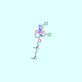 C/C=C\CC/C(C)=C/COC1CCOP(=O)(NCCCl)N1CCCl